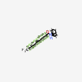 O=C(NC12CC3CC(CC(C3)C1)C2)C(F)(F)C(F)(F)C(F)(F)C(F)(F)C(F)(F)C(F)(F)C(F)(F)C(F)(F)C(F)(F)C(F)(F)C(F)(F)F